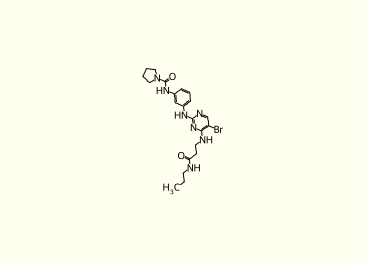 CCCNC(=O)CCNc1nc(Nc2cccc(NC(=O)N3CCCC3)c2)ncc1Br